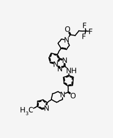 Cc1ccc(C2CCN(C(=O)c3ccc(Nc4nc5c(C6=CCN(C(=O)CCC(F)(F)F)CC6)cccn5n4)cc3)CC2)nc1